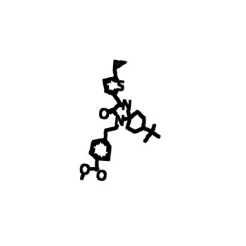 COC(=O)c1ccc(CCN2C(=O)C(c3ccc(C4CC4)s3)=NC23CCC(C(C)(C)C)CC3)cc1